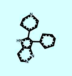 c1ccc(-c2c(-c3ccncc3)[nH]c3ccnnc23)cc1